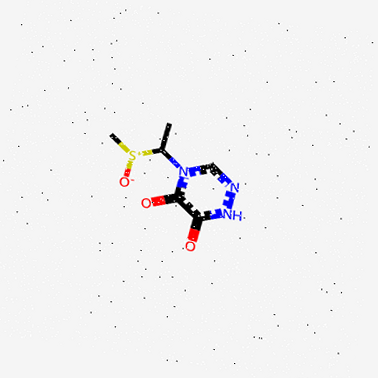 CC(n1[c]n[nH]c(=O)c1=O)[S+](C)[O-]